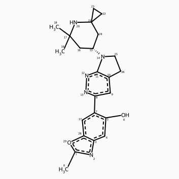 Cc1nc2cc(O)c(-c3cc4c(nn3)N([C@@H]3CC(C)(C)NC5(CC5)C3)CC4)cc2o1